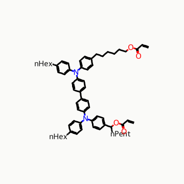 C=CC(=O)OCCCCCCc1ccc(N(c2ccc(CCCCCC)cc2)c2ccc(-c3ccc(N(c4ccc(CCCCCC)cc4)c4ccc(C(CCCCC)OC(=O)C=C)cc4)cc3)cc2)cc1